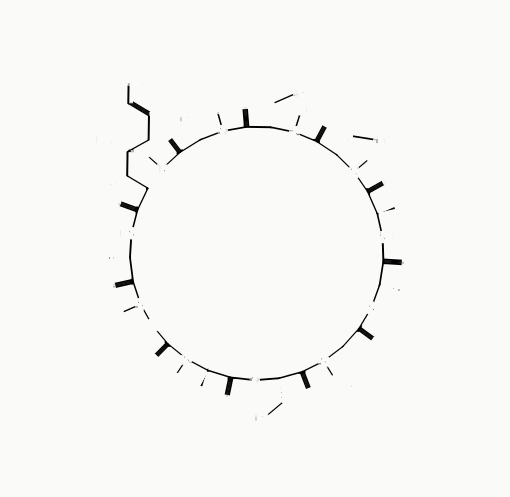 C/C=C/C[C@@H](C)[C@@H](O)[C@H]1C(=O)N[C@@H](CC)C(=O)N(C)CC(=O)N(C)[C@H](C)C(=O)N[C@@H](CC(C)C)C(=O)N(C)[C@@H](C)C(=O)N[C@@H](C)C(=O)N[C@H](C)C(=O)N(C)[C@@H](CC(C)C)C(=O)N(C)[C@@H](CC(C)C)C(=O)N(C)[C@@H](C(C)C)C(=O)N1C